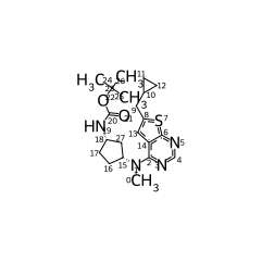 CN(c1ncnc2sc(CC3CC3)cc12)[C@@H]1CC[C@H](NC(=O)OC(C)(C)C)C1